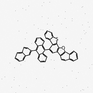 c1ccc2cc(-c3c4ccccc4c(-c4cc5c6ccc7ccccc7c6oc5c5sc6ccccc6c45)c4ccccc34)ccc2c1